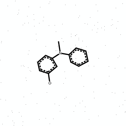 CN(c1ccccc1)c1cccc([O])c1